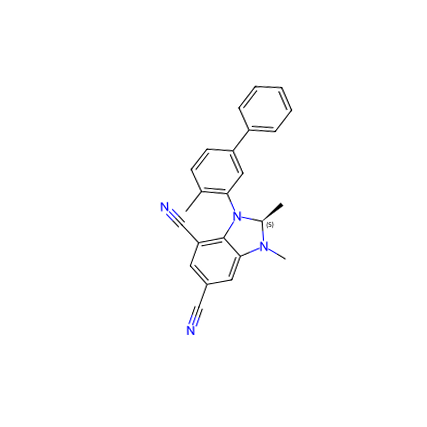 Cc1ccc(-c2ccccc2)cc1N1c2c(C#N)cc(C#N)cc2N(C)[C@@H]1C